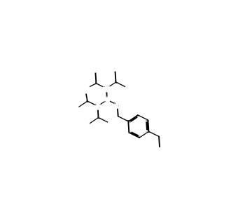 CCc1ccc(CNP(N(C(C)C)C(C)C)N(C(C)C)C(C)C)cc1